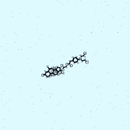 CC(=O)[C@@]1(OC(=O)COC(=O)Cc2ccc(N(CCCl)CCCl)cc2)CC[C@H]2[C@@H]3C=C(C)C4=CC(=O)CC[C@]4(C)[C@H]3CC[C@@]21C